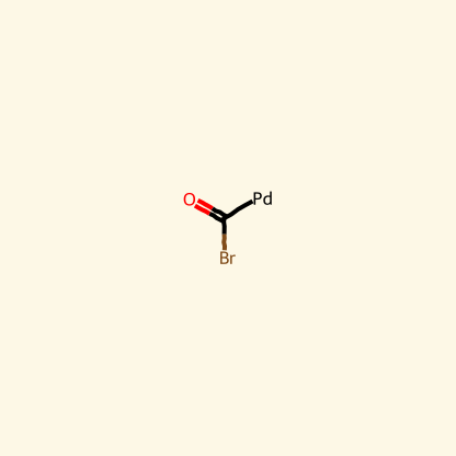 O=[C](Br)[Pd]